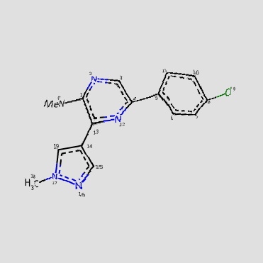 CNc1ncc(-c2ccc(Cl)cc2)nc1-c1cnn(C)c1